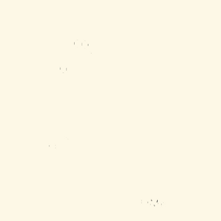 COc1ccc(C=CC(=O)c2ccc(OC(C)C(=O)O)cc2)cc1